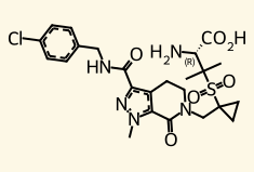 Cn1nc(C(=O)NCc2ccc(Cl)cc2)c2c1C(=O)N(CC1(S(=O)(=O)C(C)(C)[C@H](N)C(=O)O)CC1)CC2